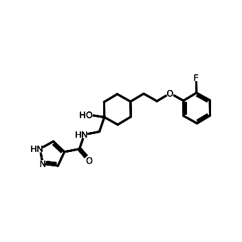 O=C(NCC1(O)CCC(CCOc2ccccc2F)CC1)c1cn[nH]c1